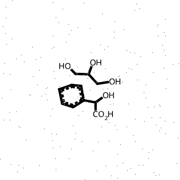 O=C(O)C(O)c1ccccc1.OCC(O)CO